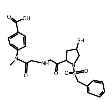 CN(C(=O)CNCC(=O)C1CC(S)CN1S(=O)(=O)Cc1ccccc1)c1ccc(C(=O)O)cc1